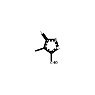 Cc1c(C=O)ssc1=S